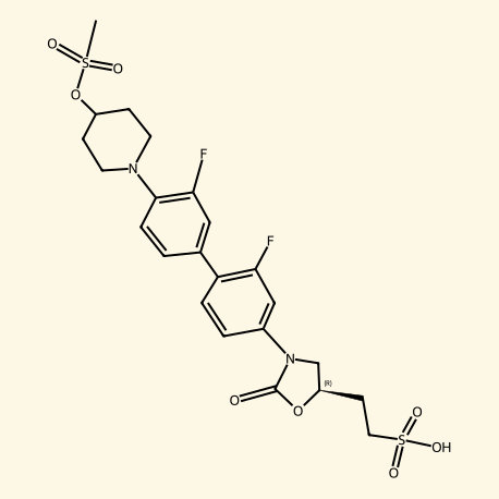 CS(=O)(=O)OC1CCN(c2ccc(-c3ccc(N4C[C@@H](CCS(=O)(=O)O)OC4=O)cc3F)cc2F)CC1